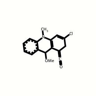 COC1C2=C(C=C(Cl)CC2=C=O)N(C)c2ccccc21